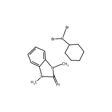 BrN(Br)C1CCCCC1.Cn1[c](=[Pt])n(C)c2ccccc21